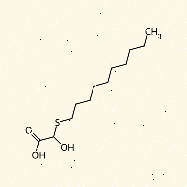 CCCCCCCCCCSC(O)C(=O)O